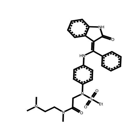 CCS(=O)(=O)N(CC(=O)N(C)CCN(C)C)c1ccc(NC(=C2C(=O)Nc3ccccc32)c2ccccc2)cc1